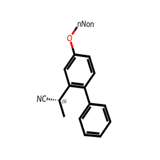 CCCCCCCCCOc1ccc(-c2ccccc2)c([C@H](C)C#N)c1